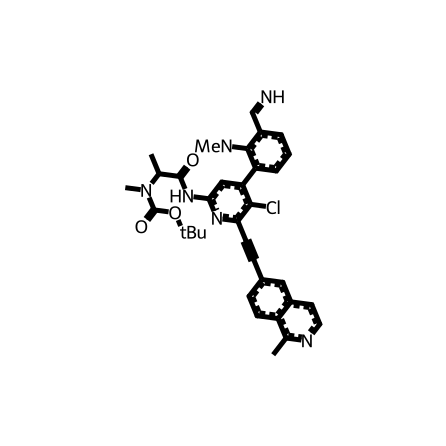 CNc1c(C=N)cccc1-c1cc(NC(=O)C(C)N(C)C(=O)OC(C)(C)C)nc(C#Cc2ccc3c(C)nccc3c2)c1Cl